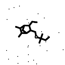 CCC1C2CC(C(C)C2C)C1COC(C)(C)CC